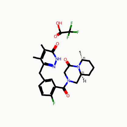 Cc1c(Cc2ccc(F)c(C(=O)N3CC(=O)N4[C@@H](CCC[C@H]4C)C3)c2)n[nH]c(=O)c1C.O=C(O)C(F)(F)F